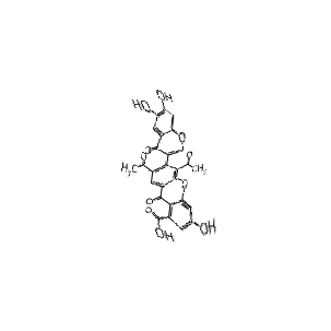 CC(=O)c1cc2c(=O)c3c(C(=O)O)cc(O)cc3oc2c(C(C)=O)c1-c1coc2cc(O)c(O)cc2c1=O